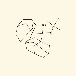 CCCCP(=N[Si](C)(C)C)(C12CC3CC(CC(C3)C1)C2)C12CC3CC(CC(C3)C1)C2